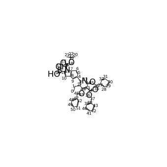 CCc1c(-c2ccc3c(c2)cc(B(O)O)n3C(=O)OC(C)(C)C)nc(OCc2ccccc2)c(C(=O)OCc2ccccc2)c1OCc1ccccc1